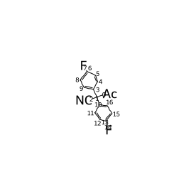 CC(=O)C(C#N)(c1ccc(F)cc1)c1ccc(F)cc1